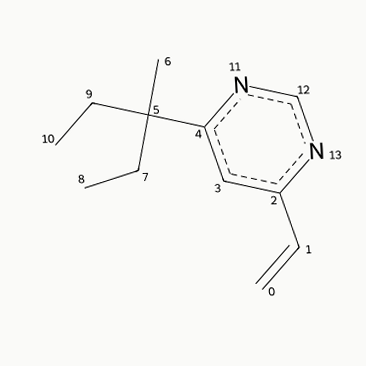 C=Cc1cc(C(C)(CC)CC)ncn1